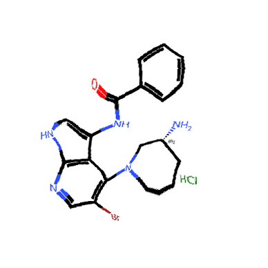 Cl.N[C@@H]1CCCN(c2c(Br)cnc3[nH]cc(NC(=O)c4ccccc4)c23)C1